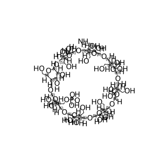 N.O=P(O)(O)OC[C@H]1O[C@@H]2O[C@H]3[C@H](O)[C@@H](O)[C@@H](O[C@H]4[C@H](O)[C@@H](O)[C@@H](O[C@H]5[C@H](O)[C@@H](O)[C@@H](O[C@H]6[C@H](O)[C@@H](O)[C@@H](O[C@H]7[C@H](O)[C@@H](O)[C@@H](O[C@H]8[C@H](O)[C@@H](O)[C@@H](O[C@H]9[C@H](O)[C@@H](O)[C@@H](O[C@H]1[C@H](O)[C@H]2O)O[C@@H]9CO)O[C@@H]8CO)O[C@@H]7CO)O[C@@H]6CO)O[C@@H]5CO)O[C@@H]4CO)O[C@@H]3CO